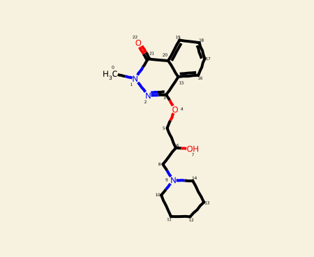 Cn1nc(OCC(O)CN2CCCCC2)c2ccccc2c1=O